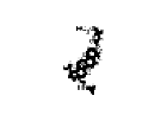 C=C(C)[C@@H]1CC[C@]2(CCNC3CC3)CC[C@]3(C)[C@H](CCC4[C@@]5(C)CC[C@H](OC(=O)CC(C)(C)CC(=O)O)C(C)(C)C5CC[C@]43C)[C@@H]12